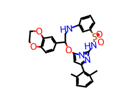 Cc1cccc(C)c1-c1cc2nc(n1)NS(=O)(=O)c1cccc(c1)NCC(c1ccc3c(c1)OCCO3)O2